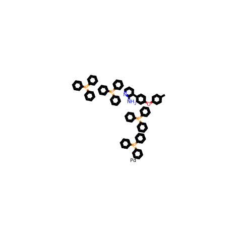 Cc1ccc(Oc2ccc(-c3cccnc3N)cc2)cc1.[Pd].c1ccc(P(c2ccccc2)c2ccccc2)cc1.c1ccc(P(c2ccccc2)c2ccccc2)cc1.c1ccc(P(c2ccccc2)c2ccccc2)cc1.c1ccc(P(c2ccccc2)c2ccccc2)cc1